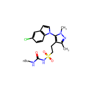 CCCCNC(=O)NS(=O)(=O)CCc1c(C)nn(C)c1-n1ccc2cc(Cl)ccc21